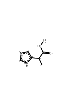 CCOC(=O)C(C)c1cnc[nH]1